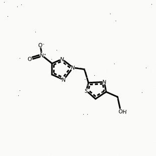 O=[N+]([O-])c1cnn(Cc2nc(CO)cs2)n1